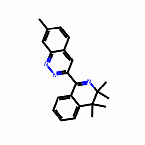 Cc1ccc2cc(C3=NC(C)(C)C(C)(C)c4ccccc43)nnc2c1